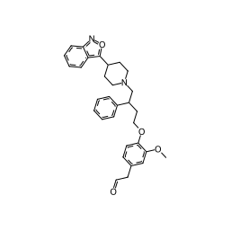 COc1cc(CC=O)ccc1OCCC(CN1CCC(c2onc3ccccc23)CC1)c1ccccc1